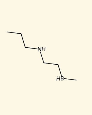 CBCCNCCC